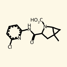 CC12CC(C(=O)Nc3cccc(Cl)n3)N(C(=O)O)C1C2